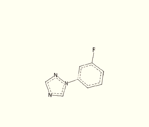 Fc1cccc(-n2cncn2)c1